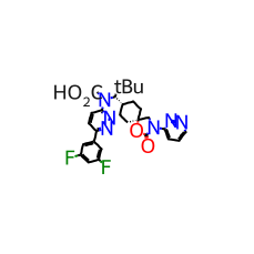 CC(C)(C)C([C@H]1CC[C@]2(CC1)CN(c1cccnn1)C(=O)O2)N(C(=O)O)c1ccc(-c2cc(F)cc(F)c2)nn1